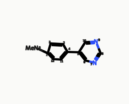 CNc1ccc(-c2cncnc2)cc1